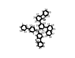 c1ccc(-c2ccc(N(c3cc(-c4cccc5ccccc45)cc(-c4cccc5c4sc4ccccc45)c3)c3ccc4c(c3)sc3ccccc34)cc2)cc1